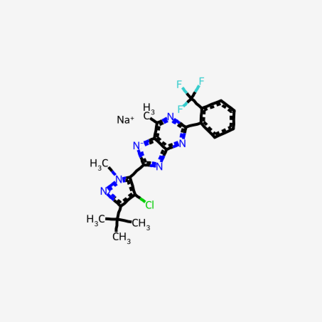 Cc1nc(-c2ccccc2C(F)(F)F)nc2nc(-c3c(Cl)c(C(C)(C)C)nn3C)[n-]c12.[Na+]